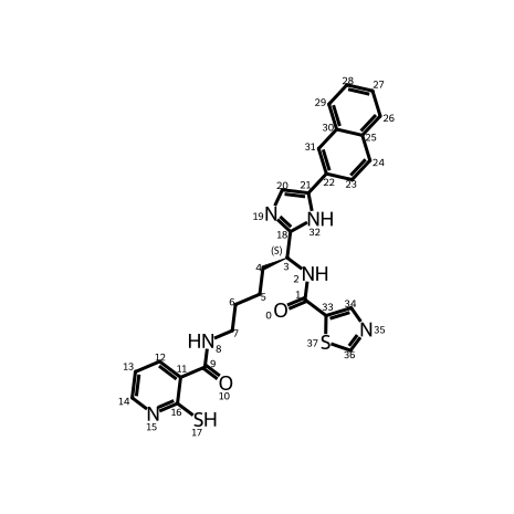 O=C(N[C@@H](CCCCNC(=O)c1cccnc1S)c1ncc(-c2ccc3ccccc3c2)[nH]1)c1cncs1